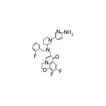 Nc1ccc(N2CCCC(N(Cc3ccccc3F)Cc3cn4c5c(c(F)c(F)cc5c3=O)OCC4)C2)cn1